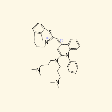 Cc1c2cccc1SC(/C=C1\C=C(N(CCCN(C)C)CCCN(C)C)N(c3ccccc3)c3ccccc31)=N/CCC2